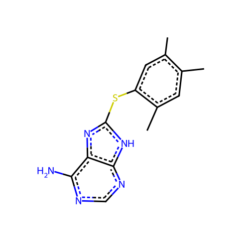 Cc1cc(C)c(Sc2nc3c(N)ncnc3[nH]2)cc1C